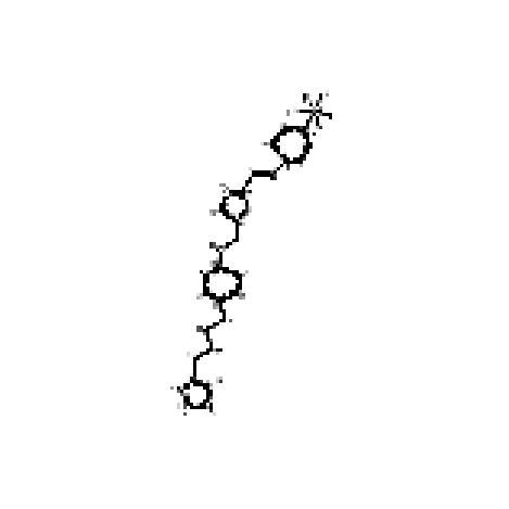 FS(F)(F)(F)(F)c1ccc(C=Cc2nc(COc3ccc(CCCCc4nn[nH]n4)cc3)co2)cc1